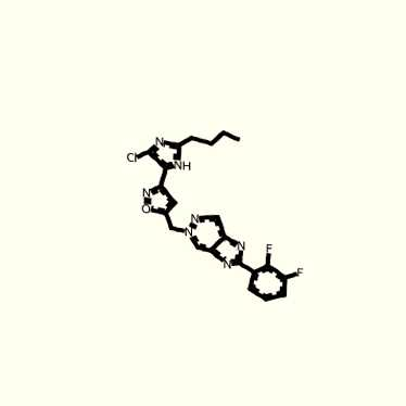 CCCCc1nc(Cl)c(-c2cc(Cn3cc4nc(-c5cccc(F)c5F)nc-4cn3)on2)[nH]1